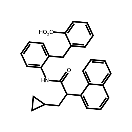 O=C(O)c1ccccc1Cc1ccccc1NC(=O)C(CC1CC1)c1cccc2ccccc12